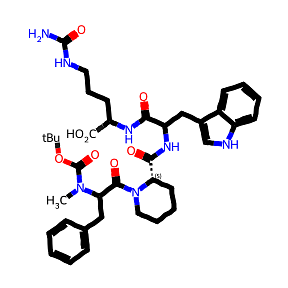 CN(C(=O)OC(C)(C)C)C(Cc1ccccc1)C(=O)N1CCCC[C@H]1C(=O)NC(Cc1c[nH]c2ccccc12)C(=O)NC(CCCNC(N)=O)C(=O)O